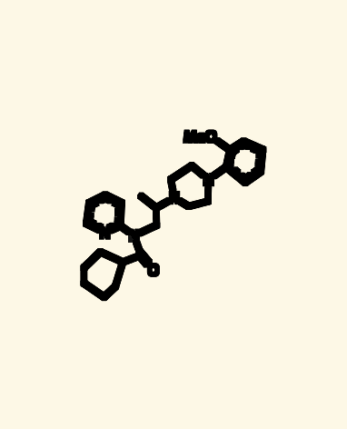 COc1ccccc1N1CCN(C(C)CN(C(=O)C2CCCCC2)c2ccccn2)CC1